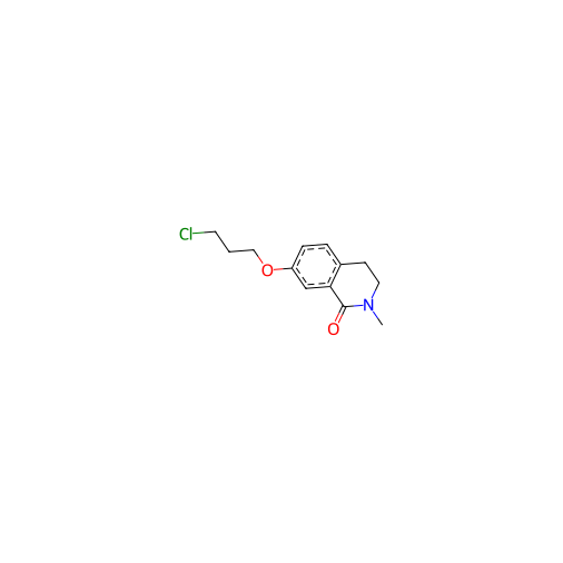 CN1CCc2ccc(OCCCCl)cc2C1=O